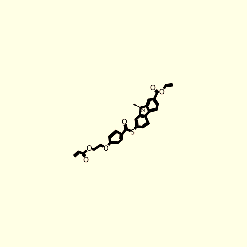 C=COC(=O)c1ccc2c(c1)[C@H](C)c1cc(SC(=O)c3ccc(OCCOC(=O)C=C)cc3)ccc1-2